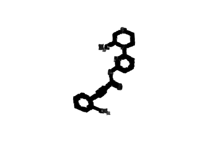 Cc1ccccc1C#CC(=O)Oc1cccc(N2CCOCC2C)n1